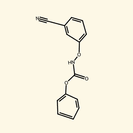 N#Cc1cccc(ONC(=O)Oc2ccccc2)c1